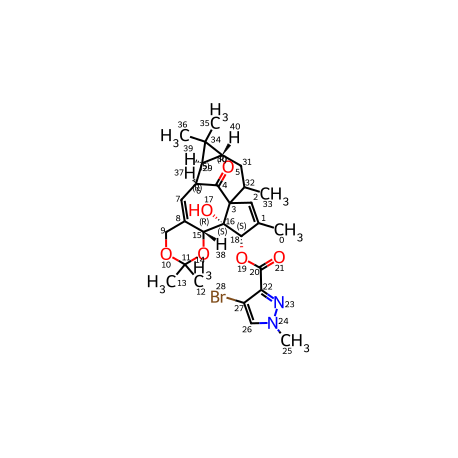 CC1=CC23C(=O)[C@@H](C=C4COC(C)(C)O[C@H]4[C@]2(O)[C@H]1OC(=O)c1nn(C)cc1Br)[C@@H]1[C@@H](CC3C)C1(C)C